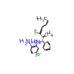 C=C(/C(F)=C\C=C/C)C(Nc1cc(Br)ccc1N)c1ccccc1